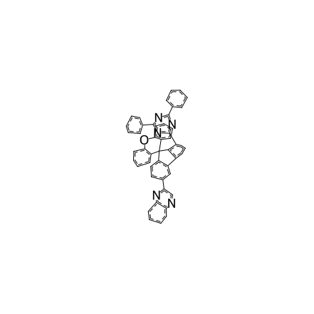 c1ccc(-c2nc(-c3ccccc3)nc(-c3cccc4c3C3(c5ccccc5Oc5ccccc53)c3ccc(-c5cnc6ccccc6n5)cc3-4)n2)cc1